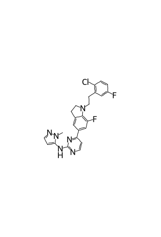 Cn1nccc1Nc1nccc(-c2cc(F)c3c(c2)CCN3CCc2cc(F)ccc2Cl)n1